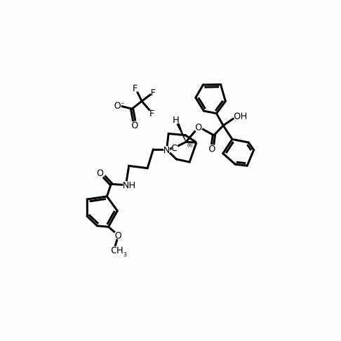 COc1cccc(C(=O)NCCC[N+]23CCC(CC2)[C@@H](OC(=O)C(O)(c2ccccc2)c2ccccc2)C3)c1.O=C([O-])C(F)(F)F